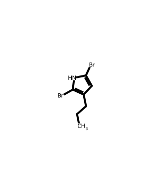 CCCc1cc(Br)[nH]c1Br